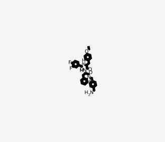 CCOc1ccc(CC(NC(=O)c2ccc(F)c(F)c2)C(=O)NC(Cc2ccccc2)C(=O)NCc2ccc(CN)cc2)cc1